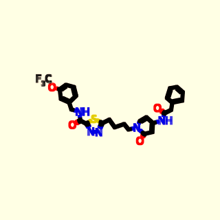 O=C(Cc1ccccc1)Nc1ccn(CCCCc2nnc(C(=O)NCc3cccc(OC(F)(F)F)c3)s2)c(=O)c1